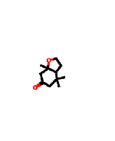 CC1(C)CC(=O)CC2(C)OCCC12